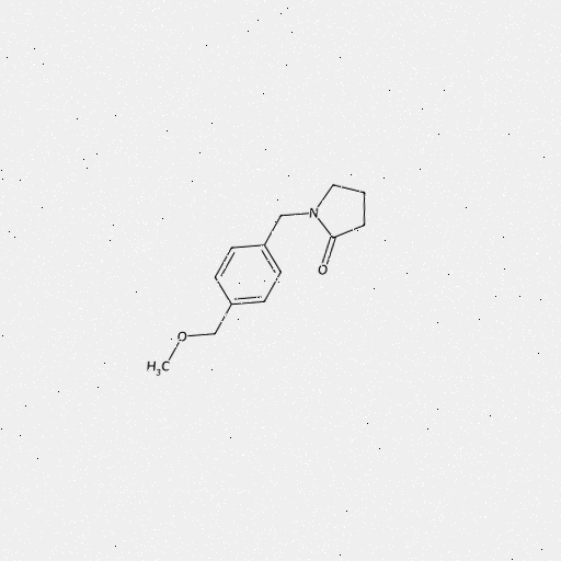 COCc1ccc(CN2CCCC2=O)cc1